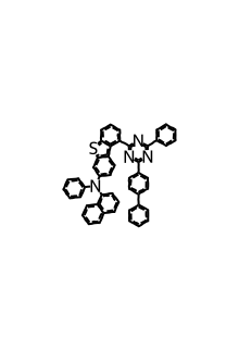 c1ccc(-c2ccc(-c3nc(-c4ccccc4)nc(-c4cccc5sc6cc(N(c7ccccc7)c7cccc8ccccc78)ccc6c45)n3)cc2)cc1